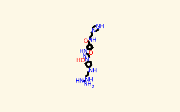 N=C(N)NCCCNC1CCC(N2C=C3Oc4ccc(C(=O)NCCCN5CCNCC5)cc4NC3=NC2O)CC1